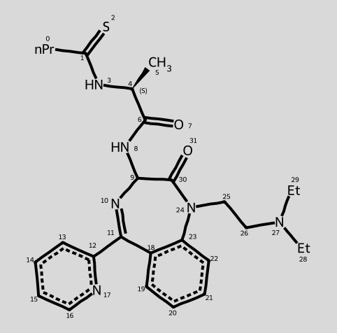 CCCC(=S)N[C@@H](C)C(=O)NC1N=C(c2ccccn2)c2ccccc2N(CCN(CC)CC)C1=O